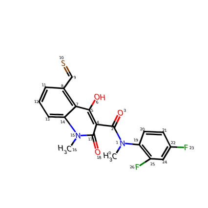 CN(C(=O)c1c(O)c2c(C=S)cccc2n(C)c1=O)c1ccc(F)cc1F